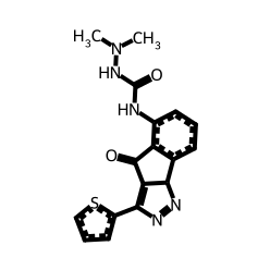 CN(C)NC(=O)Nc1cccc2c1C(=O)C1=C(c3cccs3)N=NC12